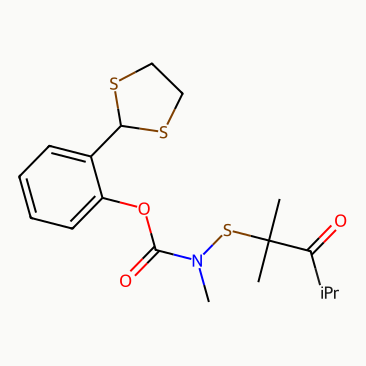 CC(C)C(=O)C(C)(C)SN(C)C(=O)Oc1ccccc1C1SCCS1